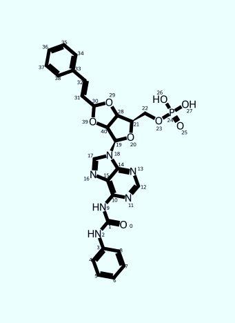 O=C(Nc1ccccc1)Nc1ncnc2c1ncn2[C@@H]1O[C@H](COP(=O)(O)O)C2OC(/C=C/c3ccccc3)OC21